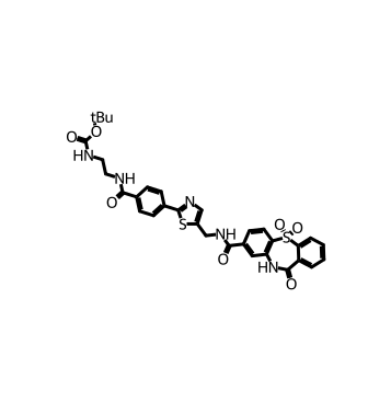 CC(C)(C)OC(=O)NCCNC(=O)c1ccc(-c2ncc(CNC(=O)c3ccc4c(c3)NC(=O)c3ccccc3S4(=O)=O)s2)cc1